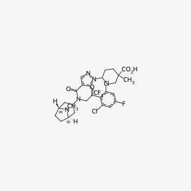 CN1[C@@H]2CC[C@@H]1CC(N(CC(=O)c1c(Cl)cc(F)cc1Cl)C(=O)c1cnn(C3CCC(C)(C(=O)O)CC3)c1C(F)(F)F)C2